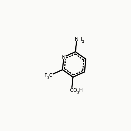 Nc1ccc(C(=O)O)c(C(F)(F)F)n1